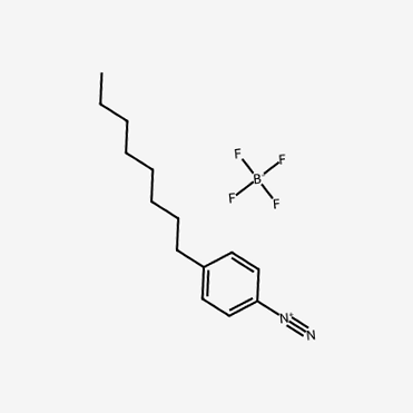 CCCCCCCCc1ccc([N+]#N)cc1.F[B-](F)(F)F